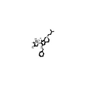 CC(C)CCN1CCc2cc(OCc3ccccc3)c(N3CC(=O)NS3(=O)=O)c(F)c2C1